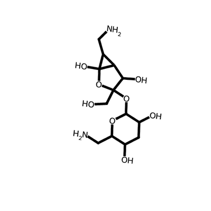 NCC1OC(OC2(CO)OC3(O)C(CN)C3C2O)C(O)CC1O